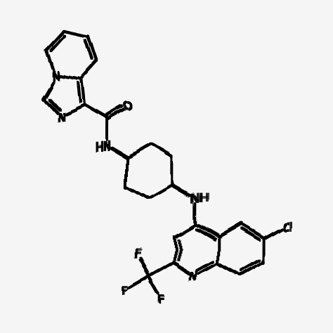 O=C(NC1CCC(Nc2cc(C(F)(F)F)nc3ccc(Cl)cc23)CC1)c1ncn2ccccc12